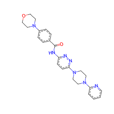 O=C(Nc1ccc(N2CCN(c3ccccn3)CC2)nn1)c1ccc(N2CCOCC2)cc1